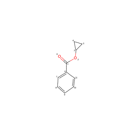 O=C(OC1CC1)c1ccccc1